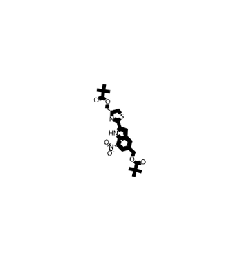 CC(C)(C)C(=O)OCc1cc([N+](=O)[O-])c2[nH]c(C3=N[C@H](COC(=O)C(C)(C)C)CS3)cc2c1